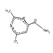 Cc1nc(NN)cc(C(F)(F)F)n1